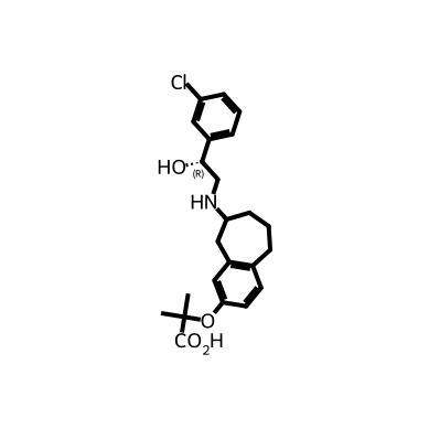 CC(C)(Oc1ccc2c(c1)CC(NC[C@H](O)c1cccc(Cl)c1)CCC2)C(=O)O